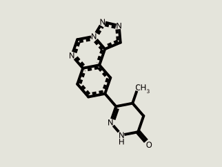 CC1CC(=O)NN=C1c1ccc2ncn3nncc3c2c1